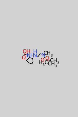 CN(CCN[C@@H]1CCCC[C@H]1NC(=O)O)C(=O)OC(C)(C)C